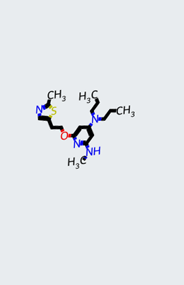 CCCN(CCC)c1cc(NC)nc(OCCc2cnc(C)s2)c1